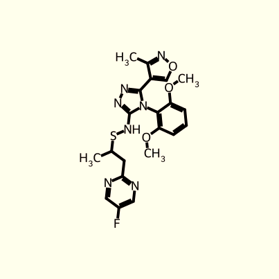 COc1cccc(OC)c1-n1c(NSC(C)Cc2ncc(F)cn2)nnc1-c1conc1C